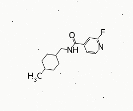 CC1CCC(CNC(=O)c2ccnc(F)c2)CC1